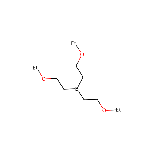 CCOCCB(CCOCC)CCOCC